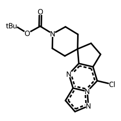 CC(C)(C)OC(=O)N1CCC2(CCc3c2nc2ccnn2c3Cl)CC1